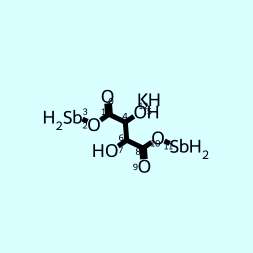 O=C([O][SbH2])C(O)C(O)C(=O)[O][SbH2].[KH]